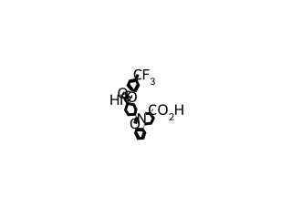 O=C(O)[C@@H]1CC[C@H](c2ccccc2)N(C(=O)[C@H]2CC[C@H](NS(=O)(=O)c3ccc(C(F)(F)F)cc3)CC2)C1